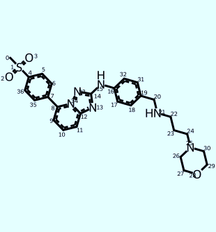 CS(=O)(=O)c1ccc(-c2cccc3nc(Nc4ccc(CNCCCN5CCOCC5)cc4)nn23)cc1